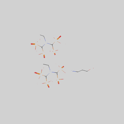 CCN(C(P(=O)(O)O)P(=O)(O)O)C(P(=O)(O)O)P(=O)(O)O.CCN(C(P(=O)(O)O)P(=O)(O)O)C(P(=O)(O)O)P(=O)(O)O.NCCCO